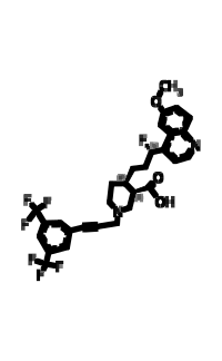 COc1ccc2nccc([C@@H](F)CC[C@@H]3CCN(CC#Cc4cc(C(F)(F)F)cc(C(F)(F)F)c4)C[C@@H]3C(=O)O)c2c1